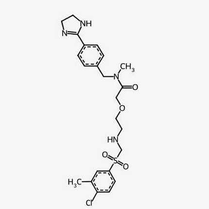 Cc1cc(S(=O)(=O)CNCCOCC(=O)N(C)Cc2ccc(C3=NCCN3)cc2)ccc1Cl